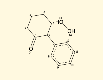 O=C1CCCCC1c1ccccc1.OO